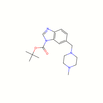 CN1CCN(Cc2ccc3ncn(C(=O)OC(C)(C)C)c3c2)CC1